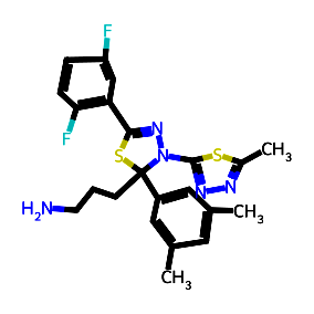 Cc1cc(C)cc(C2(CCCN)SC(c3cc(F)ccc3F)=NN2c2nnc(C)s2)c1